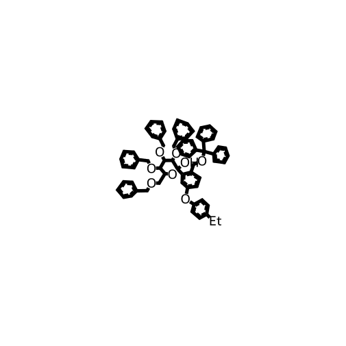 CCc1ccc(Oc2ccc(COC(c3ccccc3)(c3ccccc3)c3ccccc3)c(C3(O)OC(COCc4ccccc4)C(OCc4ccccc4)C(OCc4ccccc4)C3OCc3ccccc3)c2)cc1